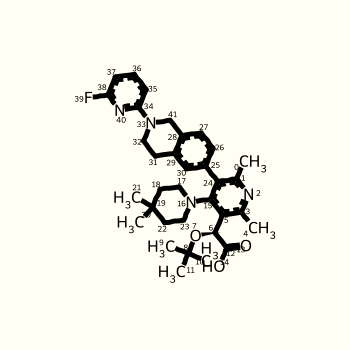 Cc1nc(C)c([C@H](OC(C)(C)C)C(=O)O)c(N2CCC(C)(C)CC2)c1-c1ccc2c(c1)CCN(c1cccc(F)n1)C2